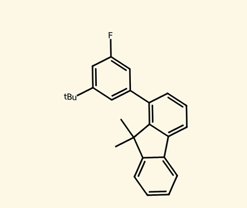 CC(C)(C)c1cc(F)cc(-c2cccc3c2C(C)(C)c2ccccc2-3)c1